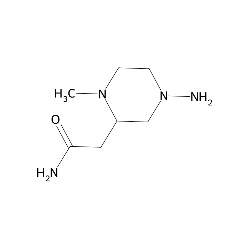 CN1CCN(N)CC1CC(N)=O